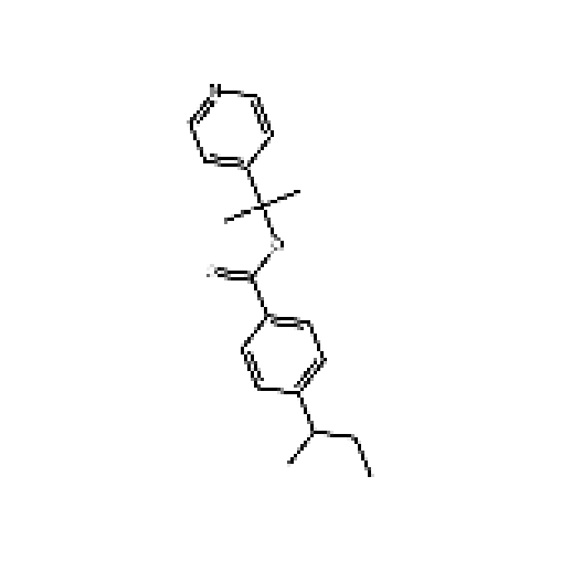 CCC(C)c1ccc(C(=O)OC(C)(C)c2ccncc2)cc1